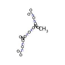 Cc1ccc(N(c2ccc(/C=C/c3ccc(/C=C/C=C(c4ccccc4)c4ccccc4)cc3)cc2)c2ccc(/C=C/c3ccc(/C=C/c4ccc(N(c5ccccc5)c5ccc(/C=C/c6ccc(/C=C/C=C(c7ccccc7)c7ccccc7)cc6)cc5)cc4)cc3)cc2)cc1